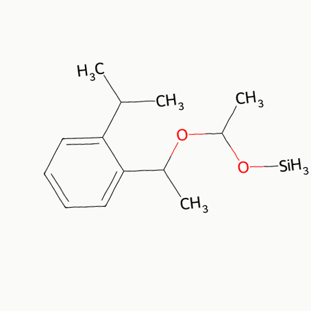 CC(O[SiH3])OC(C)c1ccccc1C(C)C